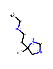 CCNCCC1(C)CNCN1